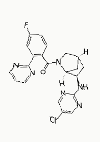 O=C(c1ccc(F)cc1-c1ncccn1)N1C[C@H]2C[C@@H](Nc3ncc(Cl)cn3)[C@@H]1C2